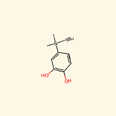 CC(C)(C)[Si](C)(C)c1ccc(O)c(O)c1